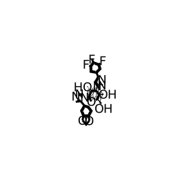 OC[C@H]1O[C@@H](n2nncc2-c2ccc3c(c2)OCO3)[C@H](O)[C@@H](n2cc(-c3cc(F)c(F)c(F)c3)nn2)[C@H]1O